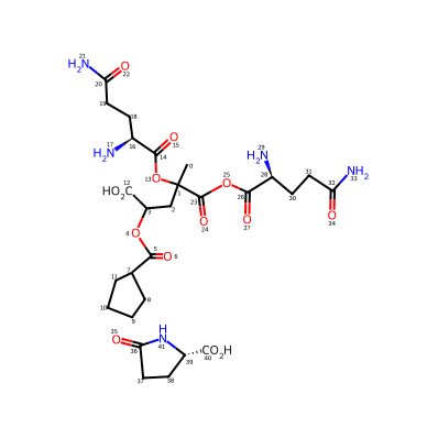 CC(CC(OC(=O)C1CCCC1)C(=O)O)(OC(=O)[C@@H](N)CCC(N)=O)C(=O)OC(=O)[C@@H](N)CCC(N)=O.O=C1CC[C@@H](C(=O)O)N1